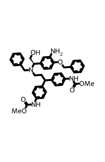 COC(=O)Nc1ccc(C(CCN(Cc2ccccc2)[C@@H](CO)c2ccc(OCc3ccccc3)c(N)c2)c2ccc(NC(=O)OC)cc2)cc1